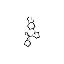 CN1CCC([C@@H]2CCCN2C(=O)N2CCCC2)CC1